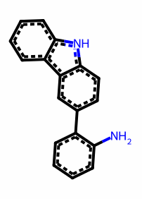 Nc1ccccc1-c1ccc2[nH]c3ccccc3c2c1